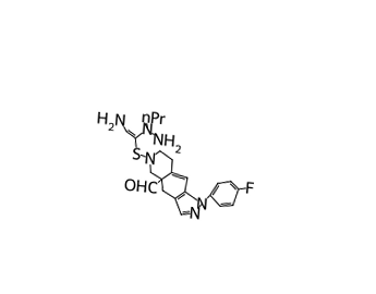 CCCN(N)/C(=C\N)SN1CCC2=Cc3c(cnn3-c3ccc(F)cc3)CC2(C=O)C1